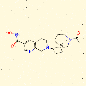 CC(=O)N1CCC[C@@]2(CCC2N2CCc3cc(C(=O)NO)cnc3C2)C1